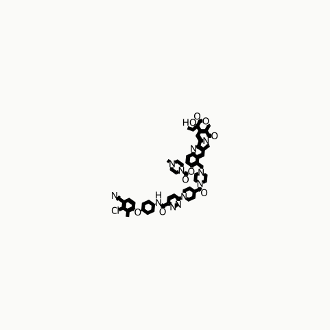 CC[C@@]1(O)C(=O)OCc2c1cc1n(c2=O)Cc2cc3c(CN4CCN(C(=O)C5CCN(c6ccc(C(=O)N[C@H]7CC[C@H](Oc8ccc(C#N)c(Cl)c8C)CC7)nn6)CC5)CC4)c(OC(=O)N4CCN(C)CC4)ccc3nc2-1